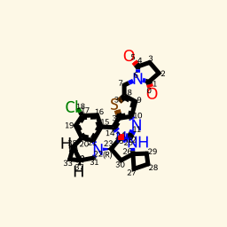 O=C1CCC(=O)N1Cc1cc2ncnc(-c3cc(Cl)cc4c3N([C@H]3CNC5(CCC5)C3)C[C@@H]3C[C@H]43)c2s1